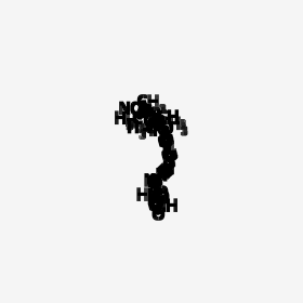 Cc1cc(OC2C(C)(C)C(NC(=O)c3ccc(N4CCC(CN5CCN(c6cncc(C(=O)NC7CCC(=O)NC7=O)c6)CC5)CC4)cc3)C2(C)C)cc(C)c1C#N